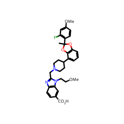 COCCn1c(CN2CCC(c3cccc4c3OC(C)(c3ccc(OC)cc3F)O4)CC2)nc2ccc(C(=O)O)cc21